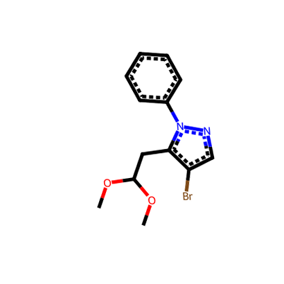 COC(Cc1c(Br)cnn1-c1ccccc1)OC